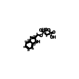 O=P(O)(O)CP(=O)(O)OCc1nc2ccccc2[nH]1